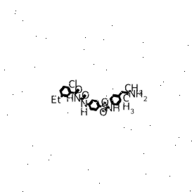 CCc1ccc(Cl)c(C(=O)NC(=O)Nc2ccc(S(=O)(=O)Nc3ccc(CC(C)(C)N)cc3)cc2)c1